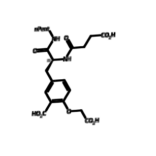 CCCCCNC(=O)[C@H](Cc1ccc(OCC(=O)O)c(C(=O)O)c1)NC(=O)CCC(=O)O